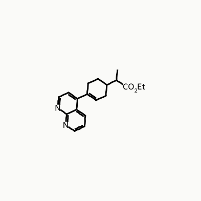 CCOC(=O)C(C)C1CC=C(c2ccnc3ncccc23)CC1